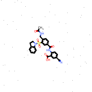 CC(=O)NCc1ccc(C(=O)Nc2ccc(C#N)cc2C(=O)O)cc1S(=O)(=O)N1CCc2ccccc21